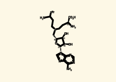 CCCC(N)CCN(CC[C@H](N)C(=O)O)C[C@H]1O[C@@H](n2cnc3c(N)ncnc32)[C@H](O)[C@@H]1O